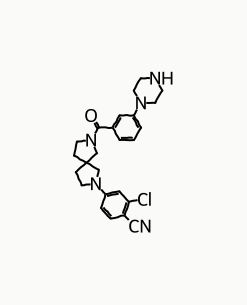 N#Cc1ccc(N2CCC3(CCN(C(=O)c4cccc(N5CCNCC5)c4)C3)C2)cc1Cl